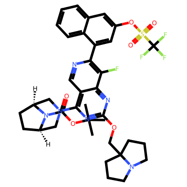 CC(C)(C)OC(=O)N1[C@@H]2CC[C@H]1CN(c1nc(OCC34CCCN3CCC4)nc3c(F)c(-c4cc(OS(=O)(=O)C(F)(F)F)cc5ccccc45)ncc13)C2